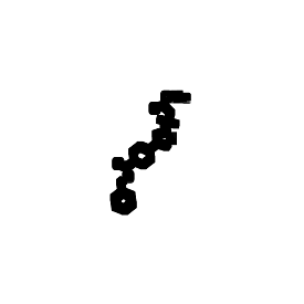 COC(=O)CC(C)(C)n1cc(C2=CCC(C(=O)OCc3ccccc3)CC2)cn1